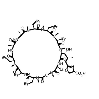 CC[C@@H]1NC(=O)[C@H]([C@H](O)[C@H](C)CC2=NC(C(=O)O)CO2)N(C)C(=O)[C@H](C(C)C)N(C)C(=O)[C@H](CC(C)C)N(C)C(=O)[C@H](CC(C)C)N(C)C(=O)[C@@H](C)NC(=O)[C@H](C)NC(=O)[C@H](CC(C)C)N(C)C(=O)[C@H](C(C)C)NC(=O)[C@H](CC(C)C)N(C)C(=O)CN(C)C1=O